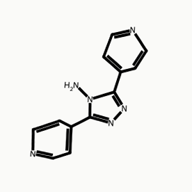 Nn1c(-c2ccncc2)nnc1-c1ccncc1